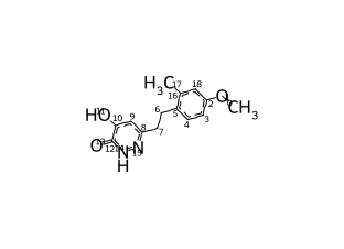 COc1ccc(CCc2cc(O)c(=O)[nH]n2)c(C)c1